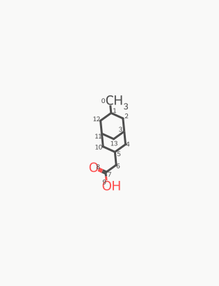 CC1CC2CC(CC(=O)O)CC(C1)C2